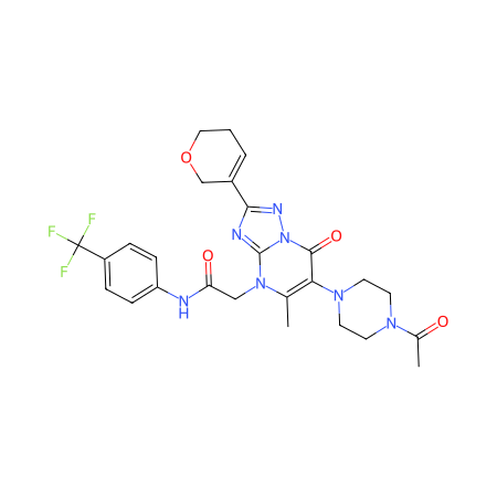 CC(=O)N1CCN(c2c(C)n(CC(=O)Nc3ccc(C(F)(F)F)cc3)c3nc(C4=CCCOC4)nn3c2=O)CC1